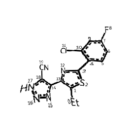 CCc1sc(-c2ccc(F)cc2Cl)nc1-c1nn[nH]c1C#N